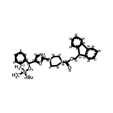 CC(C)(C)[Si](C)(C)O[C@@H](c1ccccc1)c1cnc(N2CCN(C(=O)OCC3c4ccccc4-c4ccccc43)CC2)o1